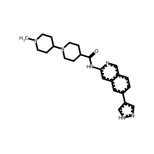 CN1CCC(N2CCC(C(=O)Nc3cc4cc(-c5cn[nH]c5)ccc4cn3)CC2)CC1